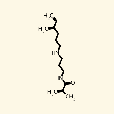 C=CC(=C)CCCNCCCNC(=O)C(=C)C